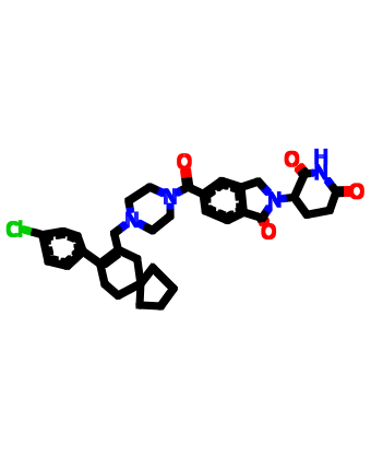 O=C1CCC(N2Cc3cc(C(=O)N4CCN(CC5=C(c6ccc(Cl)cc6)CCC6(CCCC6)C5)CC4)ccc3C2=O)C(=O)N1